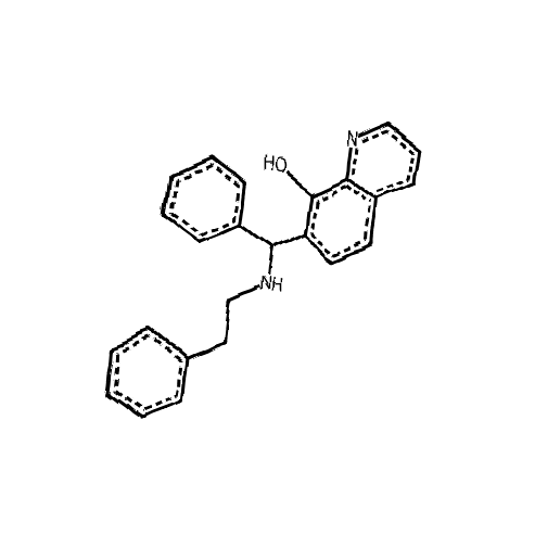 Oc1c(C(NCCc2ccccc2)c2ccccc2)ccc2cccnc12